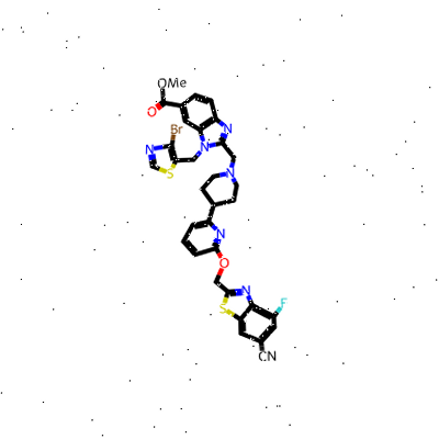 COC(=O)c1ccc2nc(CN3CCC(c4cccc(OCc5nc6c(F)cc(C#N)cc6s5)n4)CC3)n(Cc3scnc3Br)c2c1